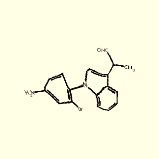 CC(C=O)c1cn(-c2ccc(N)cc2Br)c2ccccc12